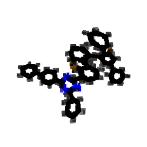 c1ccc(-c2ccc(-c3nc(-c4ccccc4)nc(-c4cccc5c4sc4cccc(-c6cc(-c7ccccc7)cc7sc8ccccc8c67)c45)n3)cc2)cc1